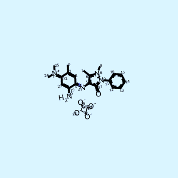 CC1=C/C(=N\c2c(C)n(C)n(-c3ccccc3)c2=O)C(N)=CC1=[N+](C)C.[O-][Cl+3]([O-])([O-])[O-]